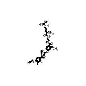 CCc1cc(Nc2nccn3c(-c4ccc(OCC#N)c(F)c4Cl)cnc23)ccc1C(=O)NCCNC(=O)[C@H](N)CCCNC(=N)N